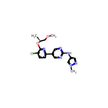 COC[C@H](C)Oc1nc(-c2cnc(Nc3cnn(C)c3)nc2)ccc1Cl